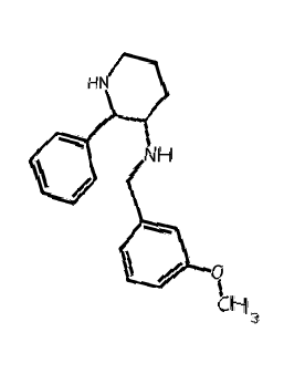 COc1cccc(CNC2CCCNC2c2ccccc2)c1